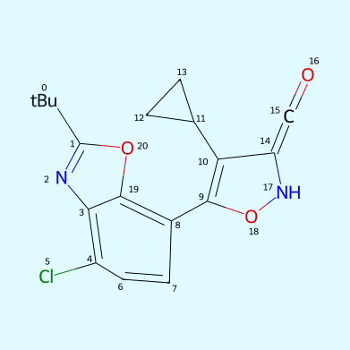 CC(C)(C)c1nc2c(Cl)ccc(C3=C(C4CC4)C(=C=O)NO3)c2o1